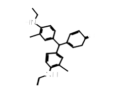 CCNc1ccc(C(C2=CCC(=O)C=C2)c2ccc(NCC)c(C)c2)cc1C